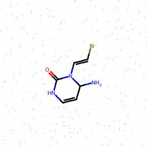 NC1C=CNC(=O)N1C=CBr